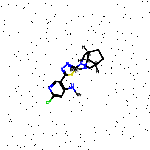 CC(C)Nc1cc(Cl)ncc1-c1nnc(N2C[C@H]3CC[C@@H](C2)[C@H]3NC(=O)O)s1